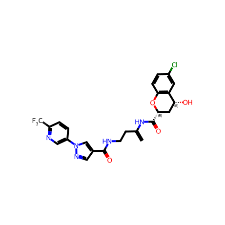 C=C(CCNC(=O)c1cnn(-c2ccc(C(F)(F)F)nc2)c1)NC(=O)[C@H]1C[C@@H](O)c2cc(Cl)ccc2O1